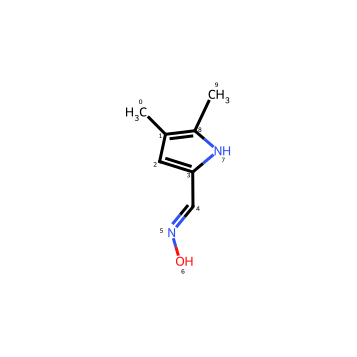 Cc1cc(/C=N/O)[nH]c1C